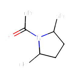 CCCC(=O)N1C(CCC)CCC1CCC